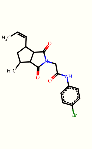 C/C=C\C1CC(C)C2C(=O)N(CC(=O)Nc3ccc(Br)cc3)C(=O)C12